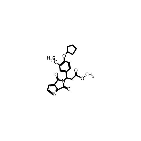 COC(=O)CC(c1ccc(OC2CCCC2)c(OC)c1)N1C(=O)c2cccnc2C1=O